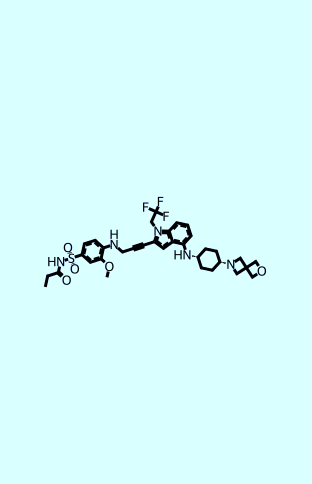 CCC(=O)NS(=O)(=O)c1ccc(NCC#Cc2cc3c(N[C@H]4CC[C@@H](N5CC6(COC6)C5)CC4)cccc3n2CC(F)(F)F)c(OC)c1